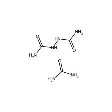 NC(=O)NNC(N)=O.NC(N)=O